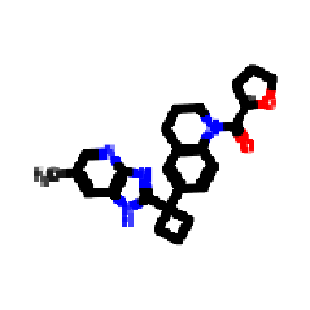 O=C([C@H]1CCCO1)N1CCCc2cc(C3(c4nc5ncc(C(F)(F)F)cc5[nH]4)CCC3)ccc21